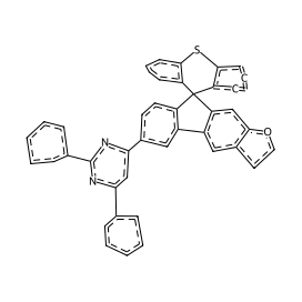 c1ccc(-c2cc(-c3ccc4c(c3)-c3cc5ccoc5cc3C43c4ccccc4Sc4ccccc43)nc(-c3ccccc3)n2)cc1